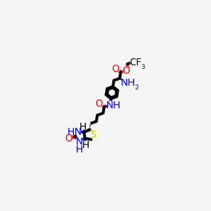 N[C@@H](Cc1ccc(NC(=O)CCCC[C@@H]2SC[C@@H]3NC(=O)N[C@@H]32)cc1)C(=O)OCC(F)(F)F